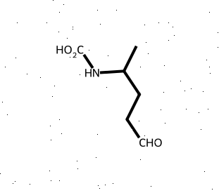 CC(CCC=O)NC(=O)O